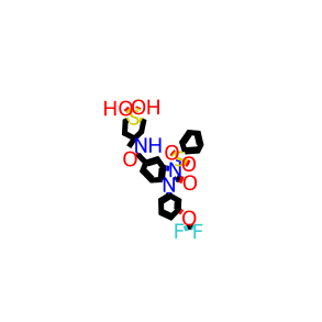 CC1(NC(=O)c2ccc3c(c2)n(S(=O)(=O)c2ccccc2)c(=O)n3-c2cccc(OC(F)F)c2)CCS(O)(O)CC1